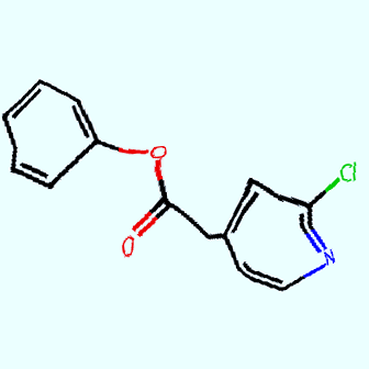 O=C(Oc1ccccc1)c1ccnc(Cl)c1